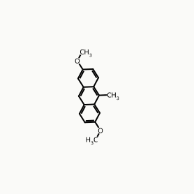 COc1ccc2c(C)c3cc(OC)ccc3cc2c1